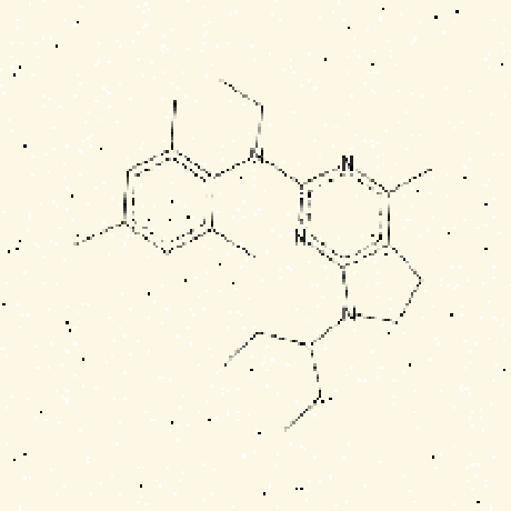 CCC(CC)N1CCc2c(C)nc(N(CC)c3c(C)cc(C)cc3C)nc21